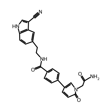 N#Cc1c[nH]c2ccc(CCNC(=O)c3ccc(-c4ccc(=O)n(CC(N)=O)c4)cc3)cc12